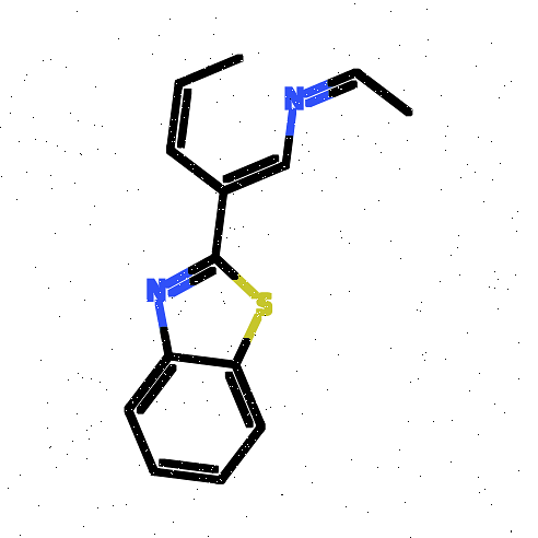 C\C=C/C(=C\N=C/C)c1nc2ccccc2s1